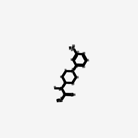 CN(C(=O)C(C)(C)C)C1CCN(c2cccc(C(F)(F)F)c2)CC1